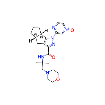 CC(C)(CN1CCOCC1)NC(=O)c1nn(-c2c[n+]([O-])ccn2)c2c1C[C@@H]1CCC[C@H]21